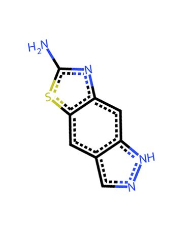 Nc1nc2cc3[nH]ncc3cc2s1